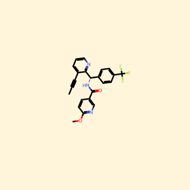 CC#Cc1cccnc1[C@@H](NC(=O)c1ccc(OC)nc1)c1ccc(C(F)(F)F)cc1